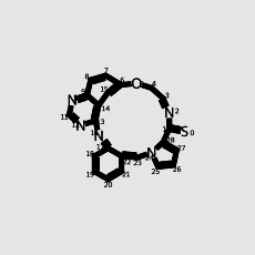 S=C1/N=C\COc2ccc3ncnc(c3c2)/N=c2/cccc/c2=C/n2cccc21